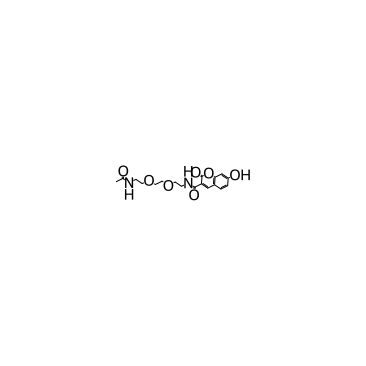 CC(=O)NCCOCCOCCNC(=O)c1cc2ccc(O)cc2oc1=O